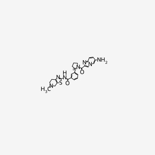 CN1CCc2nc(NC(=O)c3cccc([C@H]4CCCN4C(=O)c4cn5cc(N)ccc5n4)c3)sc2C1